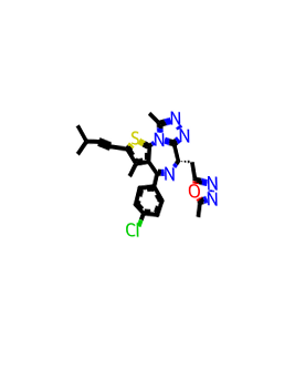 Cc1nnc(C[C@@H]2N=C(c3ccc(Cl)cc3)c3c(sc(C#CC(C)C)c3C)-n3c(C)nnc32)o1